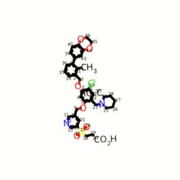 Cc1c(COc2cc(OCc3cncc(S(=O)(=O)CCC(=O)O)c3)c(CN3CCCC[C@H]3C(=O)O)cc2Cl)cccc1-c1ccc2c(c1)OCCO2